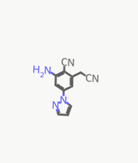 N#CCc1cc(-n2cccn2)cc(N)c1C#N